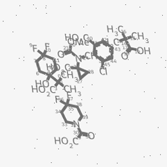 CC(C)(C(=O)O)C1(O)CCC(F)(F)CC1.CC(C)(C)C(=O)O.COC(=O)N(C)C1(C(=O)O)CC1.O=C(O)C(=O)N1CCC(F)(F)CC1.O=C(O)c1cccc(Cl)c1